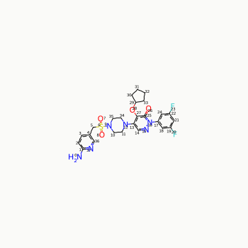 Nc1ccc(CS(=O)(=O)N2CCN(c3cnn(-c4cc(F)cc(F)c4)c(=O)c3OC3CCCC3)CC2)cn1